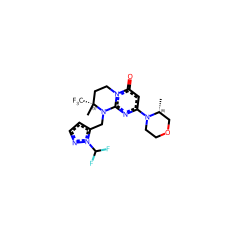 C[C@@H]1COCCN1c1cc(=O)n2c(n1)N(Cc1ccnn1C(F)F)[C@](C)(C(F)(F)F)CC2